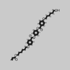 C=CC(=O)OCCCCCCOc1ccc(C(=O)Oc2ccc(OC(=O)c3ccc(OCCCCCCO)cc3)cc2)cc1